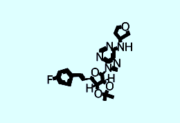 CC1(C)O[C@H]2[C@H](O1)[C@@H](C=Cc1ccc(F)cc1)O[C@H]2n1cnc2c(NC3CCOC3)ncnc21